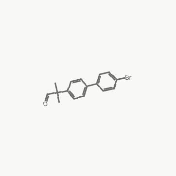 CC(C)(C=O)c1ccc(-c2ccc(Br)cc2)cc1